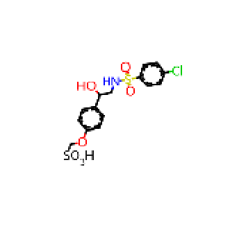 O=S(=O)(O)COc1ccc(C(O)CNS(=O)(=O)c2ccc(Cl)cc2)cc1